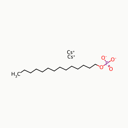 CCCCCCCCCCCCCCOP(=O)([O-])[O-].[Cs+].[Cs+]